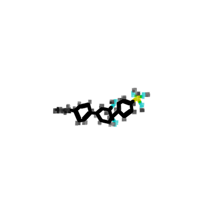 CCCCCCCc1ccc(C2CCC(F)(c3ccc(S(F)(F)F)cc3)C(F)C2)cc1